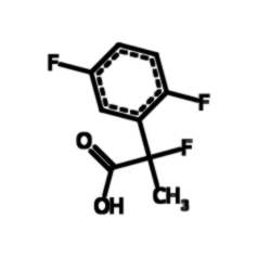 CC(F)(C(=O)O)c1cc(F)ccc1F